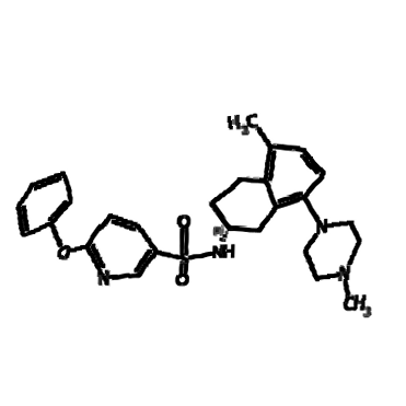 Cc1ccc(N2CCN(C)CC2)c2c1CC[C@@H](NS(=O)(=O)c1ccc(Oc3ccccc3)nc1)C2